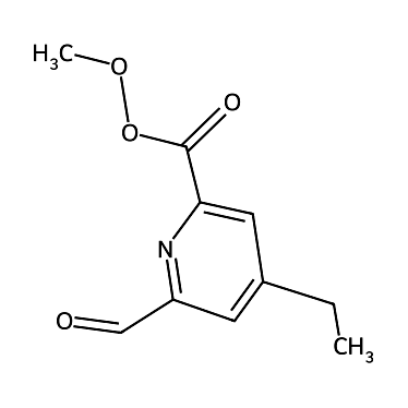 CCc1cc(C=O)nc(C(=O)OOC)c1